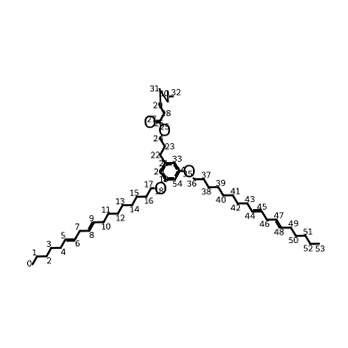 CCCCCC=CCC=CCCCCCCCCOc1cc(CCCOC(=O)CCN(C)C)cc(OCCCCCCCCC=CCC=CCCCCC)c1